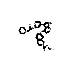 CC(C)(C)OC(=O)N1CCc2ccc(Oc3ccnc4[nH]cc(-c5ccnc(NC(=O)CN6CCCCC6)c5)c34)cc2C1